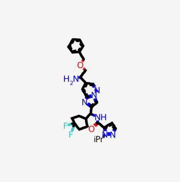 CC(C)n1nccc1C(=O)NC(c1cn2ncc(C(N)COCc3ccccc3)cc2n1)C1CCC(F)(F)CC1